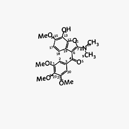 COc1cc(C(=O)c2c(N(C)C)oc3c(O)c(OC)ccc23)cc(OC)c1OC